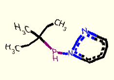 CC(C)(C)Pn1cccn1